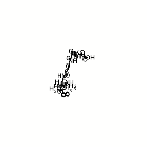 CC(C)(N)C(=O)C(CCCCNC(=O)COCCOCCNC(=O)CCN1C(=O)CC(SCC(=O)NCC(=O)O)C1=O)NC(C)(C)C(=O)Cc1cccc2ccccc12